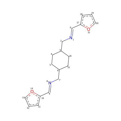 C(=NCC1CCC(CN=Cc2ccco2)CC1)c1ccco1